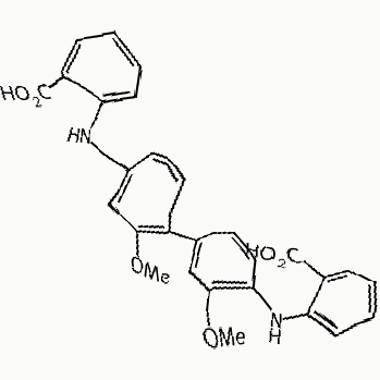 COc1cc(-c2ccc(Nc3ccccc3C(=O)O)cc2OC)ccc1Nc1ccccc1C(=O)O